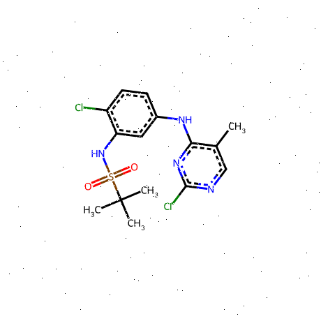 Cc1cnc(Cl)nc1Nc1ccc(Cl)c(NS(=O)(=O)C(C)(C)C)c1